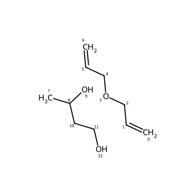 C=CCOCC=C.CC(O)CCO